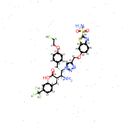 NC([C@@H](Cc1ccc(C(F)(F)F)cc1)C(=O)O)[C@H](Cc1ccc(OCCF)cc1)n1cc(COc2ccc3nc(S(N)(=O)=O)sc3c2)nn1